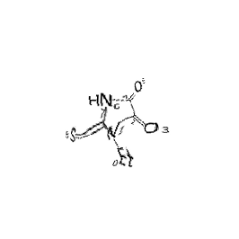 CCN1C(=O)C(=O)NC1=S